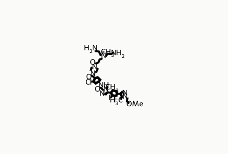 COCCn1ncc(-c2ccc(-c3cnc(C(=O)Nc4ccc(C(=O)N5CCN(C(=O)CCC[N+](C)(CCCN)CCCN)CC5)c(Cl)c4)n3C)c(F)c2F)c1C